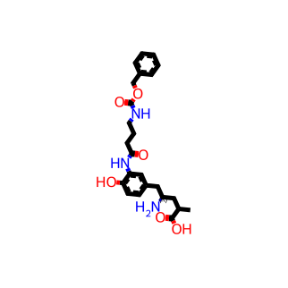 CC(C[C@@H](N)Cc1ccc(O)c(NC(=O)CCCNC(=O)OCc2ccccc2)c1)C(=O)O